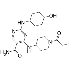 CCC(=O)N1CCC(Nc2nc(NC3CCC(O)CC3)ncc2C(N)=O)CC1